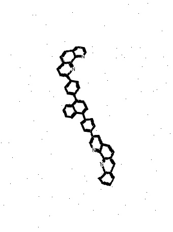 c1ccc2nc3c(ccc4cc(-c5ccc(-c6ccc(-c7ccc(-c8ccc9ccc%10cccnc%10c9n8)cc7)c7ccccc67)cc5)cnc43)cc2c1